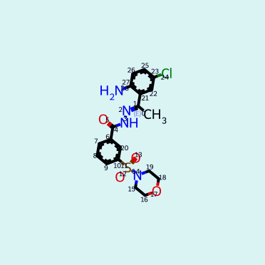 C/C(=N\NC(=O)c1cccc(S(=O)(=O)N2CCOCC2)c1)c1cc(Cl)ccc1N